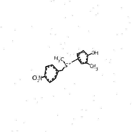 Cc1cc([S+](C)Cc2ccc([N+](=O)[O-])cc2)ccc1O